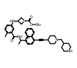 Cc1ccc(NC2CN(C(=O)OC(C)(C)C)C2)cc1C(=O)NC(C)c1ccc(C#CC2CCN(CC3CCNCC3)CC2)c2ccccc12